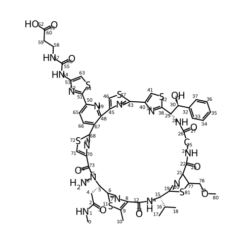 CNC(=O)C[C@H]1c2nc(c(C)s2)C(=O)N[C@@H](C(C)C)C2=NC(C(=O)NCC(=O)N[C@@H]([C@@H](O)c3ccccc3)c3nc(cs3)-c3nc(cs3)-c3nc(-c4nc(NC(=O)NCCC(=O)O)cs4)ccc3-c3nc(cs3)C(=O)N1N)C(COC)S2